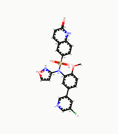 COc1ccc(-c2cncc(F)c2)cc1N(c1ccon1)S(=O)(=O)c1ccc2[nH]c(=O)ccc2c1